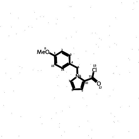 COc1ccc(Cn2cccc2C(=O)Cl)cc1